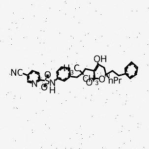 CCC[C@]1(CCc2ccccc2)CC(O)=C(CC(C)(C)Cc2cccc(NS(=O)(=O)c3ccc(C#N)cn3)c2)C(=O)O1